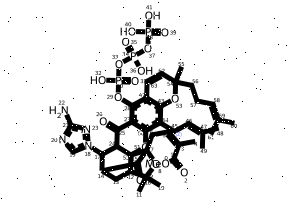 COC(=O)/C(C)=C\CC12OC(C)(C)C3CC(C1=O)C(n1cnc(N)n1)C1C(=O)c4c(OP(=O)(O)OP(=O)(O)OP(=O)(O)O)c5c(c(CC=C(C)C)c4OC132)OC(C)(CCC=C(C)C)C=C5